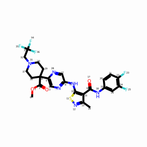 COC(=O)C1(c2cnc(Nc3snc(C)c3C(=O)Nc3ccc(F)c(F)c3)cn2)CCN(CC(F)(F)F)CC1